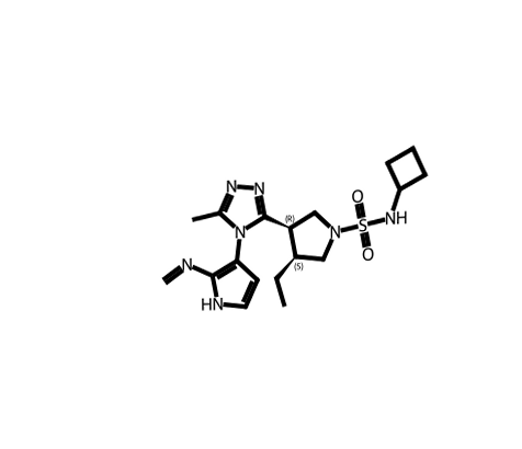 C=Nc1[nH]ccc1-n1c(C)nnc1[C@H]1CN(S(=O)(=O)NC2CCC2)C[C@H]1CC